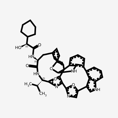 CC(C)[C@@H]1NC(=O)[C@@H](NC(=O)[C@@H](O)C2CCCCC2)Cc2ccc3c(c2)C24c5cccc(c5NC2O3)-c2cccc3[nH]cc(c23)-c2cnc(o2)-c2nc1oc24